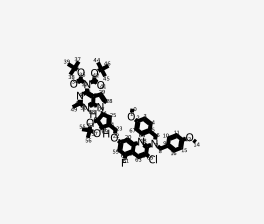 COc1ccc(CN(Cc2ccc(OC)cc2)c2nc3cc(OCC4=C[C@@H](n5ccc6c(N(C(=O)OC(C)(C)C)C(=O)OC(C)(C)C)nc(C)nc65)[C@@H]5OC(C)(C)O[C@H]45)cc(F)c3cc2Cl)cc1